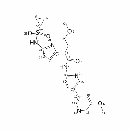 COCCC(C(=O)Nc1ccc(-c2cncc(OC)c2)cn1)c1csc(NS(=O)(=O)C2CC2)n1